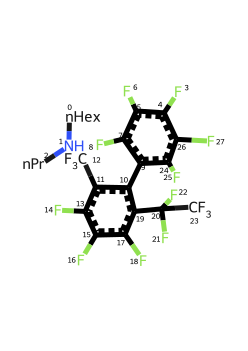 CCCCCCNCCC.Fc1c(F)c(F)c(-c2c(C(F)(F)F)c(F)c(F)c(F)c2C(F)(F)C(F)(F)F)c(F)c1F